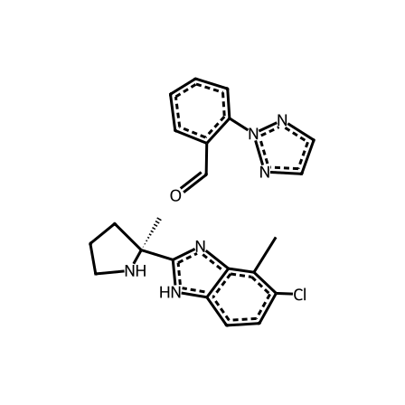 Cc1c(Cl)ccc2[nH]c([C@]3(C)CCCN3)nc12.O=Cc1ccccc1-n1nccn1